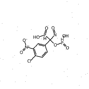 O=NC(O[PH](=O)O)(c1ccc(Cl)c([N+](=O)[O-])c1)[PH](=O)O